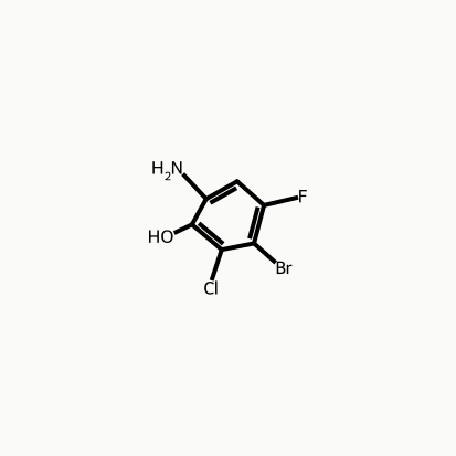 Nc1cc(F)c(Br)c(Cl)c1O